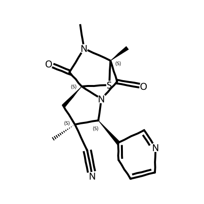 CN1C(=O)[C@@]23C[C@](C)(C#N)[C@H](c4cccnc4)N2C(=O)[C@]1(C)S3